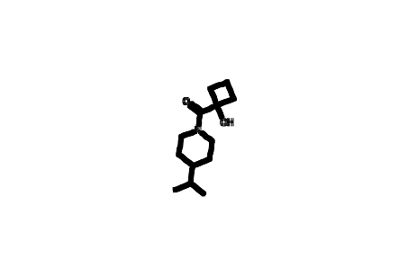 CC(C)C1CCN(C(=O)C2(O)CCC2)CC1